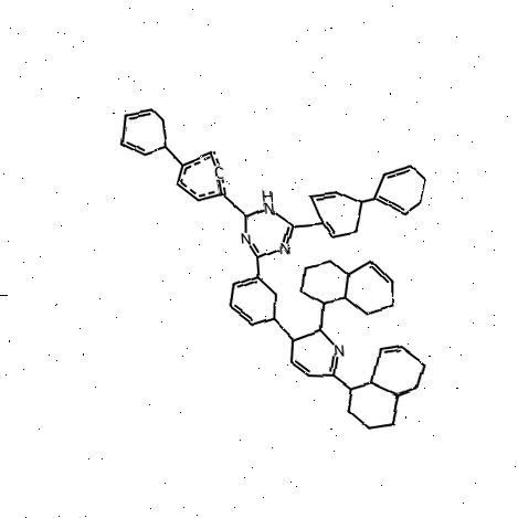 C1=CCC(c2ccc(C3N=C(C4=CC=CC(C5C=CC(C6CCCC7CCC=CC76)=NC5C5CCCC6C=CCCC65)C4)N=C(C4=CCC(C5=CCCC=C5)C=C4)N3)cc2)C=C1